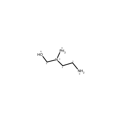 NCCN(P)CO